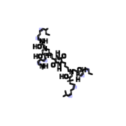 CC/C=C\C/C=C\PC(O)CN(CCCCC1NC(=O)C(CCCCN(CC(O)N/C=C\C/C=C\C(C)CC)CC(O)P/C=C\C/C=C\NC)NC1=O)CC(O)C(C)(C)C/C=C\C/C=C\C(C)C